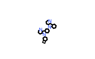 c1ccc2c(c1)c1ncccc1n2-c1ccc2c(c1)c1ncccc1n2-c1ccc2c(c1)CC2